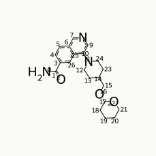 NC(=O)c1ccc2cncc(N3CCC(COC4CCCCO4)CC3)c2c1